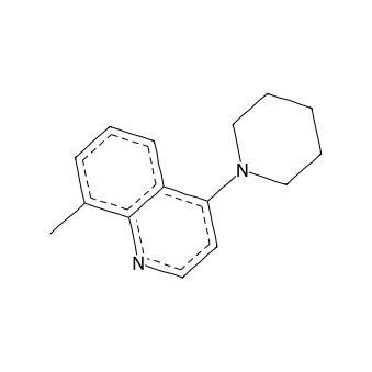 Cc1cccc2c(N3CCCCC3)ccnc12